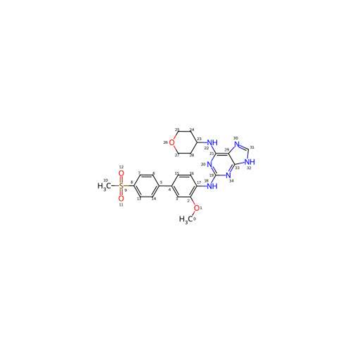 COc1cc(-c2ccc(S(C)(=O)=O)cc2)ccc1Nc1nc(NC2CCOCC2)c2nc[nH]c2n1